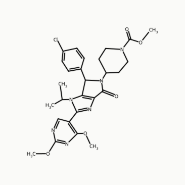 COC(=O)N1CCC(N2C(=O)c3nc(-c4cnc(OC)nc4OC)n(C(C)C)c3C2c2ccc(Cl)cc2)CC1